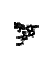 O=P(O)(O)O.OC[C@H]1O[C@@H](n2cnc3c(O)ncnc32)[C@H](O)[C@@H]1O.[NaH].[NaH]